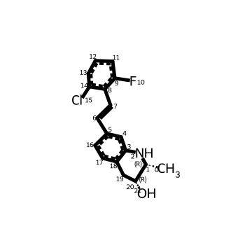 C[C@H]1Nc2cc(C=Cc3c(F)cccc3Cl)ccc2C[C@H]1O